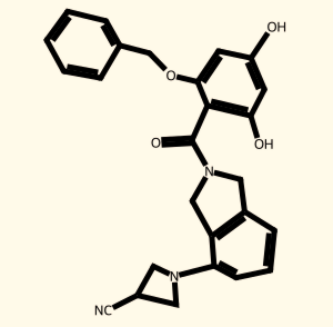 N#CC1CN(c2cccc3c2CN(C(=O)c2c(O)cc(O)cc2OCc2ccccc2)C3)C1